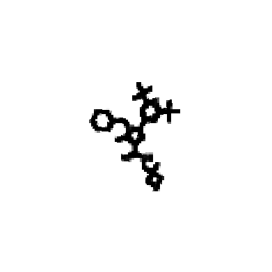 Cc1c(C(=O)NCC2(C)COC2)cc(-c2cc(C(C)(C)C)nc(C(C)(C)C)c2)n1CC1CCCCC1